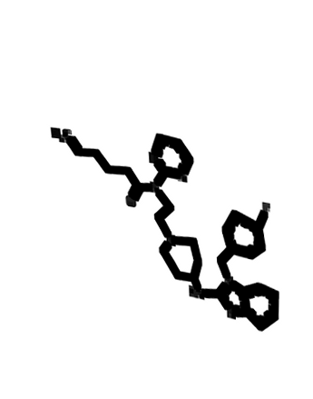 C=CCCCC(=O)N(CCN1CCC(Nc2nc3ccccc3n2Cc2ccc(F)cc2)CC1)c1ncccn1